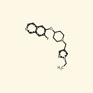 CCn1cc(CN2CCC(Oc3cc4ccncc4cc3F)CC2)cn1